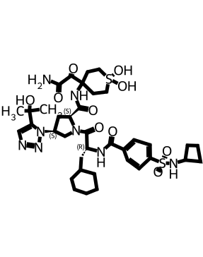 CC(C)(O)c1cnnn1[C@H]1C[C@@H](C(=O)NC2(C(=O)C(N)=O)CCS(O)(O)CC2)N(C(=O)[C@@H](CC2CCCCC2)NC(=O)c2ccc(S(=O)(=O)NC3CCC3)cc2)C1